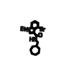 CCn1cc(C(=O)NCC2CCCCCC2)c2c(Br)cccc21